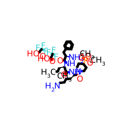 COP(=O)(OC)C1CCN(C(=O)[C@@H](CCCCN)NC(=O)[C@@H](CC(C)C)NC(=O)[C@H](N)Cc2ccccc2)CC1.O=C(O)C(F)(F)F.O=C(O)C(F)(F)F